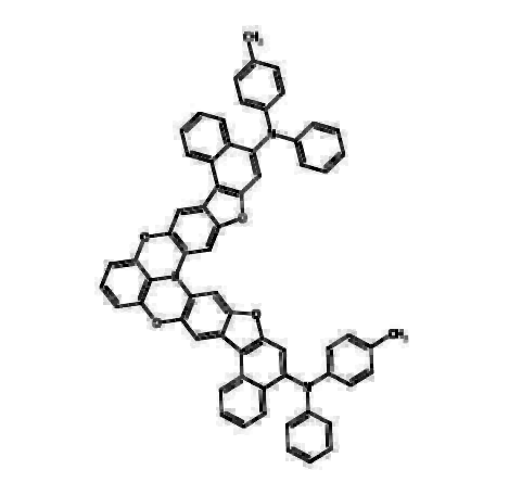 Cc1ccc(N(c2ccccc2)c2cc3oc4cc5c(cc4c3c3ccccc23)Oc2cccc3c2B5c2cc4oc5cc(N(c6ccccc6)c6ccc(C)cc6)c6ccccc6c5c4cc2O3)cc1